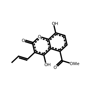 CC=Cc1c(O)c2c(C(=O)OC)ccc(O)c2oc1=O